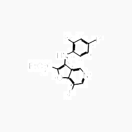 CCOC(=O)c1oc2c(F)cncc2c1Nc1ccc(I)cc1F